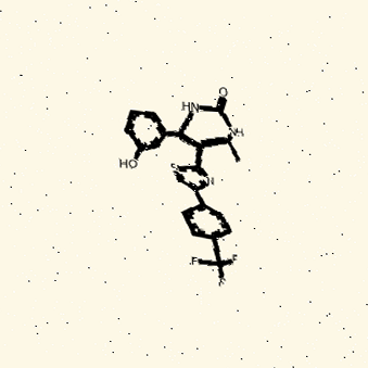 CC1=C(c2nc(-c3ccc(C(F)(F)F)cc3)cs2)C(c2cccc(O)c2)NC(=O)N1